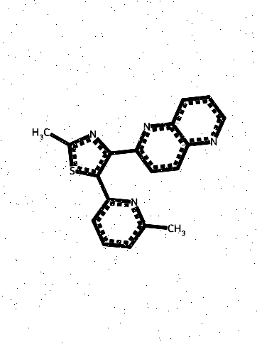 Cc1cccc(-c2sc(C)nc2-c2ccc3ncccc3n2)n1